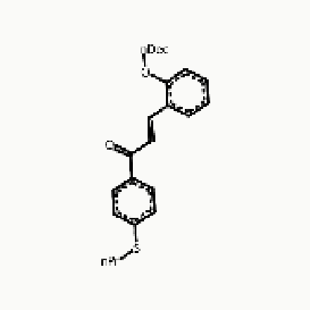 CCCCCCCCCCOc1ccccc1C=CC(=O)c1ccc(SCCC)cc1